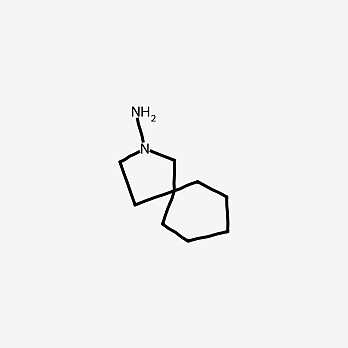 NN1CCC2(CCCCC2)C1